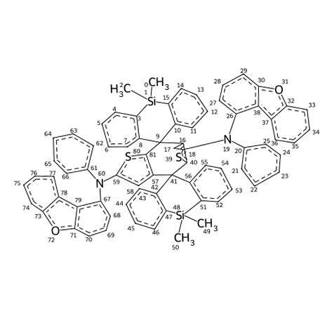 C[Si]1(C)c2ccccc2C2(c3ccccc31)c1cc(N(c3ccccc3)c3cccc4oc5ccccc5c34)sc1C1(c3ccccc3[Si](C)(C)c3ccccc31)c1cc(N(c3ccccc3)c3cccc4oc5ccccc5c34)sc12